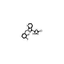 Fc1cccc(Cn2nc(-c3nc(Cl)n[nH]3)c3cccnc32)c1F